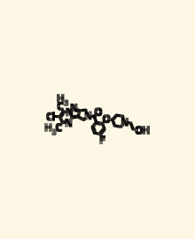 Cc1nc2c3c(nn2c(C)c1Cl)CN(C(=O)c1ccc(F)cc1OC1CCN(CCO)CC1)C3